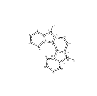 Cn1c2cccnc2c2c3c4ncccc4n(C)c3ccc21